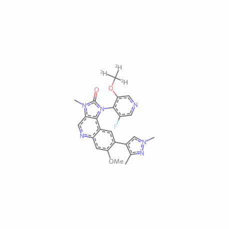 [2H]C([2H])([2H])Oc1cncc(F)c1-n1c(=O)n(C)c2cnc3cc(OC)c(-c4cn(C)nc4C)cc3c21